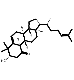 CC(C)=CCC[C@@H](C)[C@H]1CC[C@H]2[C@@H]3CC=C4C(C)(C)[C@@H](O)CC(=O)[C@]4(C)[C@H]3CC[C@]12C